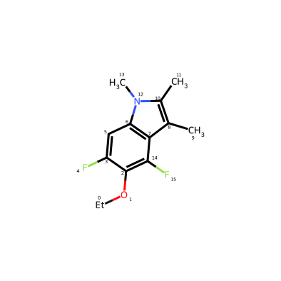 CCOc1c(F)cc2c(c(C)c(C)n2C)c1F